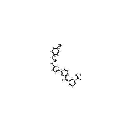 CC(O)c1cccc(Nc2nccc(-c3ccc(CNCc4ccc(O)cc4)s3)n2)c1